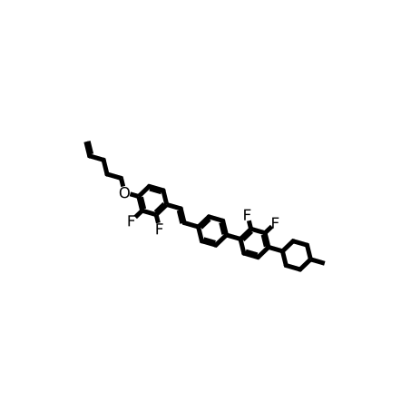 C=CCCCOc1ccc(/C=C/c2ccc(-c3ccc(C4CCC(C)CC4)c(F)c3F)cc2)c(F)c1F